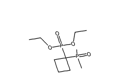 CCOP(=O)(OCC)C1(P(C)(C)=O)CCC1